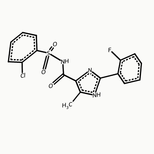 Cc1[nH]c(-c2ccccc2F)nc1C(=O)NS(=O)(=O)c1ccccc1Cl